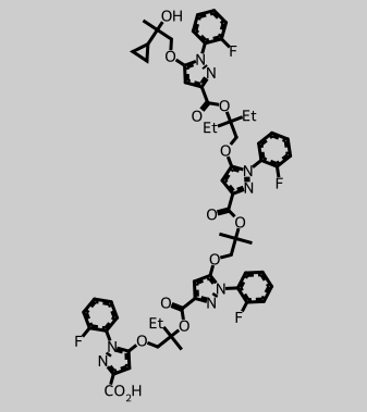 CCC(C)(COc1cc(C(=O)O)nn1-c1ccccc1F)OC(=O)c1cc(OCC(C)(C)OC(=O)c2cc(OCC(CC)(CC)OC(=O)c3cc(OCC(C)(O)C4CC4)n(-c4ccccc4F)n3)n(-c3ccccc3F)n2)n(-c2ccccc2F)n1